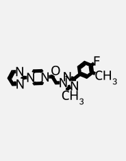 Cc1cc(-c2nc(C)n(CC(=O)N3CCN(c4ncccn4)CC3)n2)ccc1F